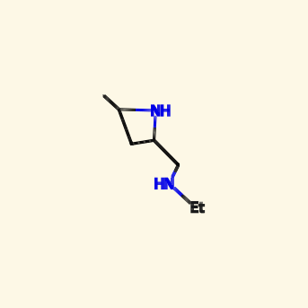 CCNCC1CC(C)N1